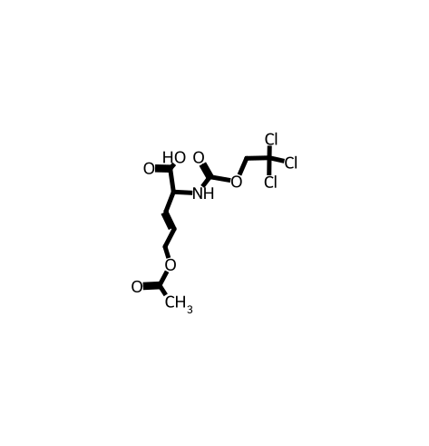 CC(=O)OCC=CC(NC(=O)OCC(Cl)(Cl)Cl)C(=O)O